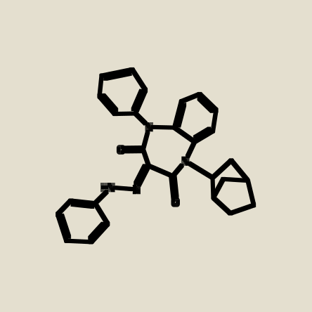 O=c1c(=NNc2ccccc2)c(=O)n(C2CC3CCC2C3)c2ccccc2n1-c1ccccc1